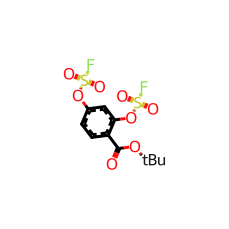 CC(C)(C)OC(=O)c1ccc(OS(=O)(=O)F)cc1OS(=O)(=O)F